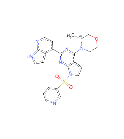 C[C@@H]1COCCN1c1nc(-c2ccnc3[nH]ccc23)nc2c1ccn2S(=O)(=O)c1cccnc1